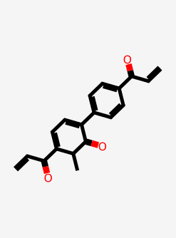 C=CC(=O)C1=CC=C(c2ccc(C(=O)C=C)cc2)C(=O)C1C